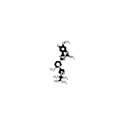 COc1cc2nc(N)n3nc([C@H]4CC[C@@H](C)N(c5cnn(C(C)(C)[C@H](C)O)c5)C4)nc3c2cc1F